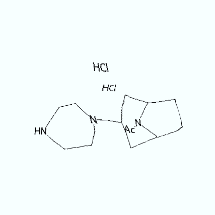 CC(=O)N1C2CCC1CC(N1CCNCC1)C2.Cl.Cl